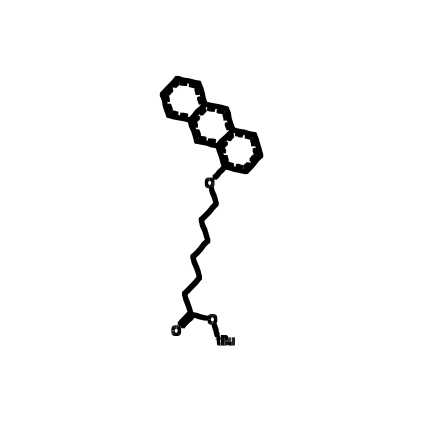 CC(C)(C)OC(=O)CCCCCCOc1cccc2cc3ccccc3cc12